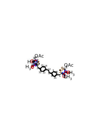 CC(=O)OC[C@@]12SS[C@@](Cc3ccc(CCc4ccc(C[C@@]56SS[C@@](COC(C)=O)(C(=O)N5C)N(C)C6=O)cc4)cc3)(C(=O)N1C)N(C)C2=O